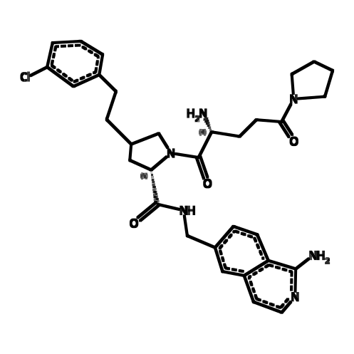 Nc1nccc2cc(CNC(=O)[C@@H]3CC(CCc4cccc(Cl)c4)CN3C(=O)[C@H](N)CCC(=O)N3CCCC3)ccc12